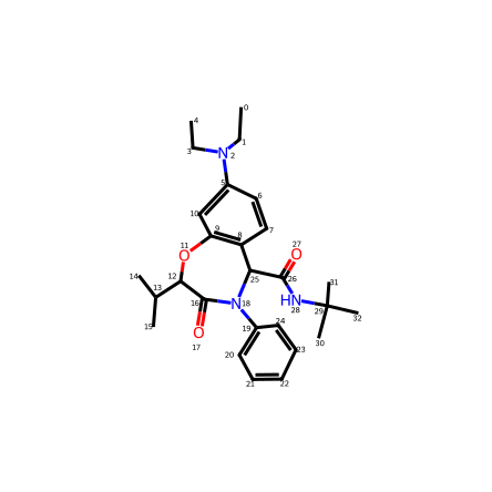 CCN(CC)c1ccc2c(c1)OC(C(C)C)C(=O)N(c1ccccc1)C2C(=O)NC(C)(C)C